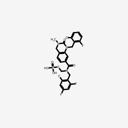 CN1Cc2ccc(C(=O)N(COP(=O)(O)O)Cc3c(F)cc(F)cc3F)cc2N(Cc2c(F)cccc2Cl)C1=O